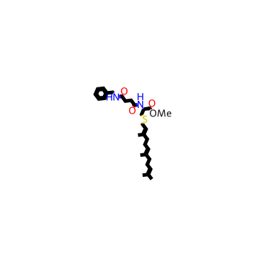 COC(=O)C(CSC/C=C(\C)CC/C=C(\C)CCC=C(C)C)NC(=O)CCC(=O)NCc1ccccc1